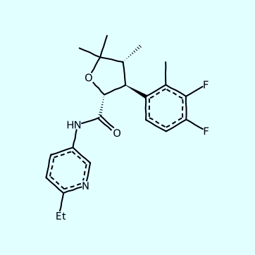 CCc1ccc(NC(=O)[C@@H]2OC(C)(C)[C@H](C)[C@H]2c2ccc(F)c(F)c2C)cn1